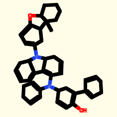 CC12CCCCC1OC1=CC=C(N3C4CC=CC=C4C4=C(N(C5=CCCC=C5)C5C=CC(O)=C(C6=CCCC=C6)C5)C=CCC43)CC12